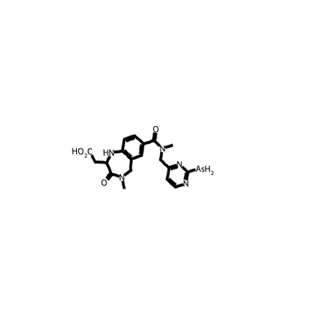 CN(Cc1ccnc([AsH2])n1)C(=O)c1ccc2c(c1)CN(C)C(=O)C(CC(=O)O)N2